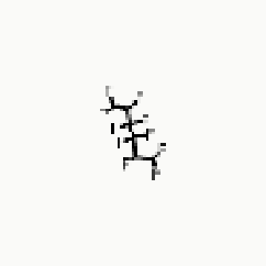 FC(F)=C(F)C(F)(F)C(F)(F)C(F)C(F)F